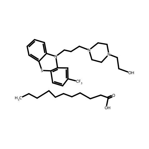 CCCCCCCCCCC(=O)O.OCCN1CCN(CCCN2c3ccccc3Sc3ccc(C(F)(F)F)cc32)CC1